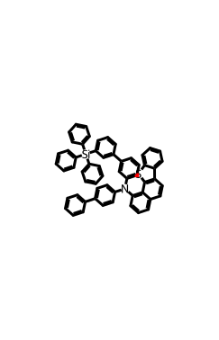 c1ccc(-c2ccc(N(c3cccc(-c4cccc([Si](c5ccccc5)(c5ccccc5)c5ccccc5)c4)c3)c3cccc4ccc5c6ccccc6sc5c34)cc2)cc1